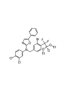 CCOP(=O)(OCC)C(F)(F)c1ccc(CN(c2ccc(Cl)c(Cl)c2)c2ncc(-c3ccccc3)o2)cc1Br